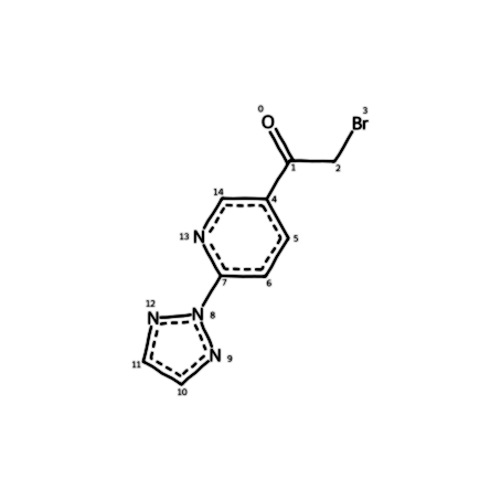 O=C(CBr)c1ccc(-n2nccn2)nc1